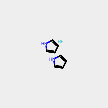 F.c1cc[nH]c1.c1cc[nH]c1